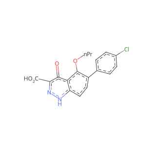 CCCOc1c(-c2ccc(Cl)cc2)ccc2[nH]nc(C(=O)O)c(=O)c12